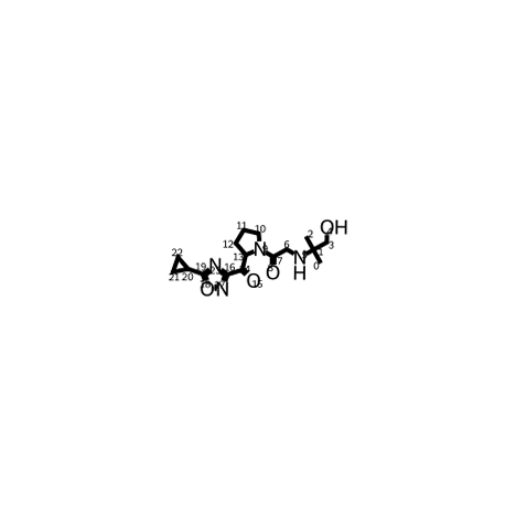 CC(C)(CO)NCC(=O)N1CCCC1C(=O)c1noc(C2CC2)n1